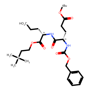 CC(C)(C)OC(=O)CC[C@H](NC(=O)OCc1ccccc1)C(=O)N[C@@H](CCC(=O)O)C(=O)OCC[Si](C)(C)C